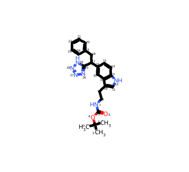 CC(C)(C)OC(=O)NCCc1c[nH]c2ccc(C(Cc3ccccc3)c3nnn[nH]3)cc12